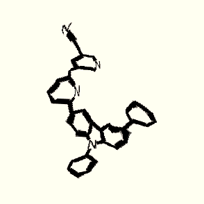 N#Cc1cncc(-c2cccc(-c3ccc4c(c3)c3cc(-c5ccccc5)ccc3n4-c3ccccc3)n2)c1